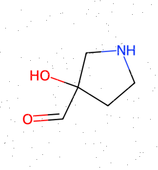 O=CC1(O)CCNC1